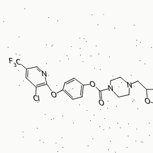 O=C(Oc1ccc(Oc2ncc(C(F)(F)F)cc2Cl)cc1)N1CCN(CC2CCCO2)CC1